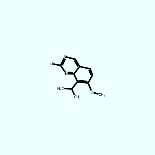 COc1ccc2cnc(Cl)nc2c1C(C)C